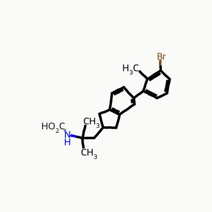 Cc1c(Br)cccc1-c1ccc2c(c1)CC(CC(C)(C)NC(=O)O)C2